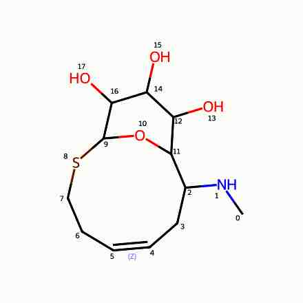 CNC1C/C=C\CCSC2OC1C(O)C(O)C2O